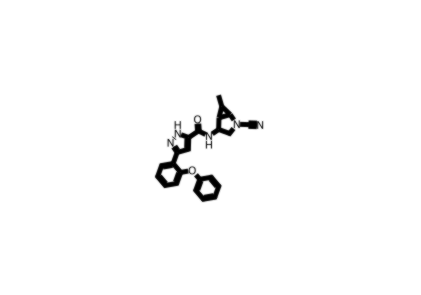 CC1C2C(NC(=O)c3cc(-c4ccccc4Oc4ccccc4)n[nH]3)CN(C#N)C12